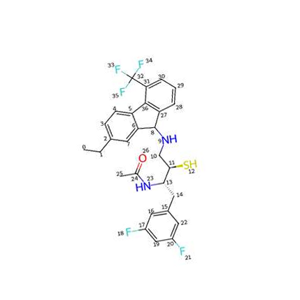 CCc1ccc2c(c1)C(NC[C@@H](S)[C@H](Cc1cc(F)cc(F)c1)NC(C)=O)c1cccc(C(F)(F)F)c1-2